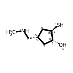 CNC[C@H]1C[C@@H](O)[C@H](S)C1